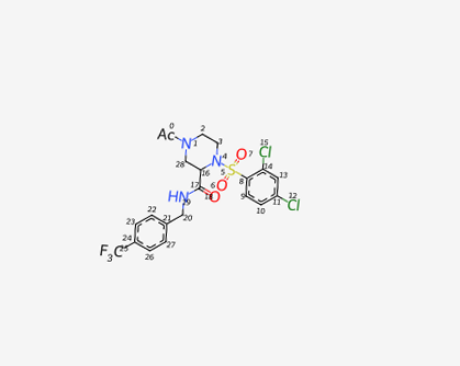 CC(=O)N1CCN(S(=O)(=O)c2ccc(Cl)cc2Cl)C(C(=O)NCc2ccc(C(F)(F)F)cc2)C1